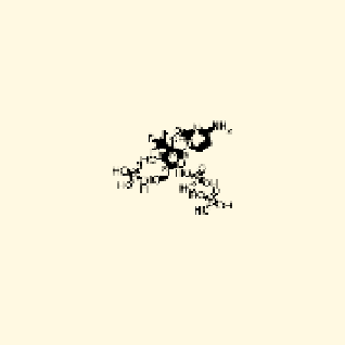 Nc1ccn([C@@H]2O[C@H](CO)[C@@H](O)[C@@]2(O)C(F)(F)F)c(=O)n1.O=P(O)(O)O.O=P(O)(O)O.O=P(O)(O)O